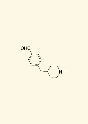 CN1CCC(Cc2ccc(C=O)cc2)CC1